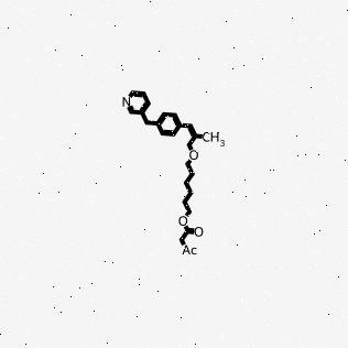 CC(=O)CC(=O)OCCCCCCOCC(C)=Cc1ccc(Cc2cccnc2)cc1